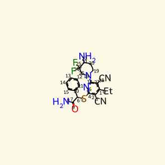 CCc1c(C#N)c(SC(C(N)=O)c2ccccc2)nc(N2CCC(N)C(F)(F)C2)c1C#N